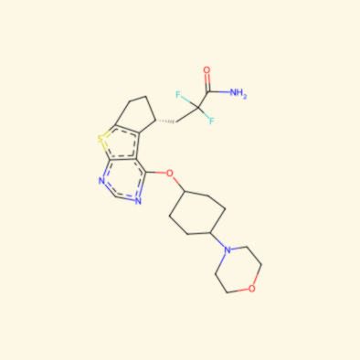 NC(=O)C(F)(F)C[C@H]1CCc2sc3ncnc(OC4CCC(N5CCOCC5)CC4)c3c21